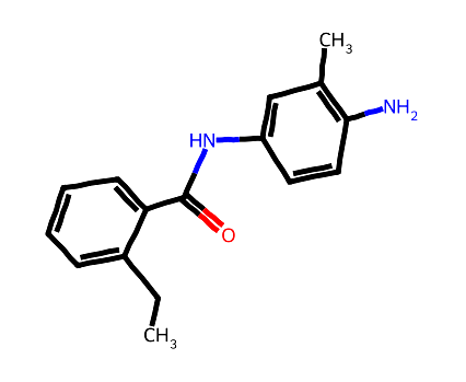 CCc1ccccc1C(=O)Nc1ccc(N)c(C)c1